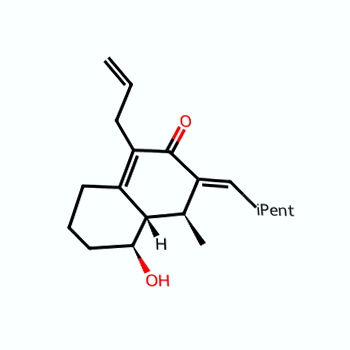 C=CCC1=C2CCC[C@H](O)[C@H]2[C@H](C)/C(=C\C(C)CCC)C1=O